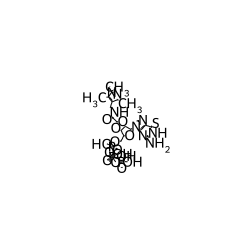 Cc1nn(C)c(C)c1CNC(=O)C1OC2C(COP(=O)(O)OP(=O)(O)OP(=O)(O)O)OC(n3cnc4c(=S)[nH]c(N)nc43)C2O1